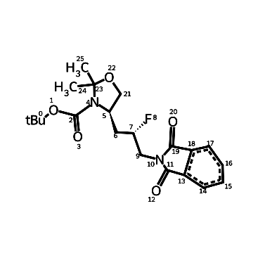 CC(C)(C)OC(=O)N1[C@H](C[C@H](F)CN2C(=O)c3ccccc3C2=O)COC1(C)C